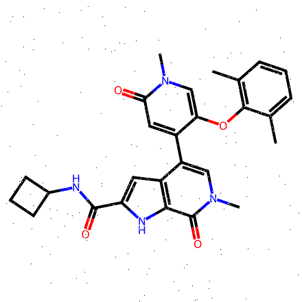 Cc1cccc(C)c1Oc1cn(C)c(=O)cc1-c1cn(C)c(=O)c2[nH]c(C(=O)NC3CCC3)cc12